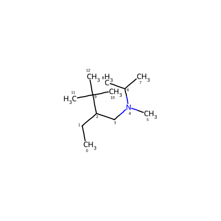 CCC(CN(C)C(C)C)C(C)(C)C